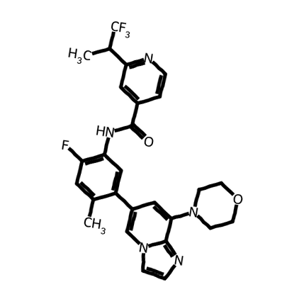 Cc1cc(F)c(NC(=O)c2ccnc(C(C)C(F)(F)F)c2)cc1-c1cc(N2CCOCC2)c2nccn2c1